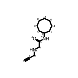 C#CCNCC(=O)NC1CCCCCCC1